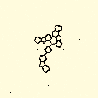 c1ccc2c(c1)ccc1c2oc2cccc(N(c3ccc(-c4ccc5sc6ccccc6c5c4)cc3)c3cccc4c3sc3ccccc34)c21